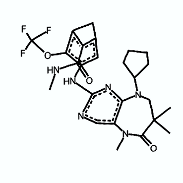 CNC(=O)c1c2cc(Nc3ncc4c(n3)N(C3CCCC3)CC(C)(C)C(=O)N4C)c(OC(F)(F)F)c1C2